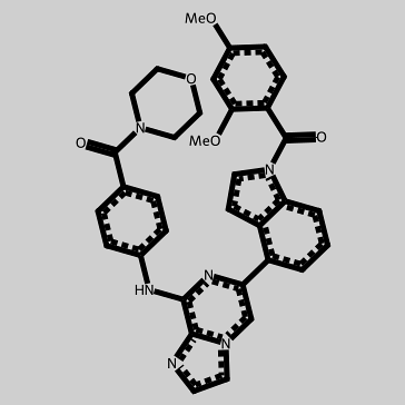 COc1ccc(C(=O)n2ccc3c(-c4cn5ccnc5c(Nc5ccc(C(=O)N6CCOCC6)cc5)n4)cccc32)c(OC)c1